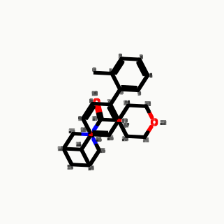 Cc1ccccc1-c1ccc(C2C3CC2CN(C(=O)C2CCOCC2)C3)cc1